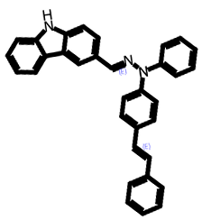 C(=C\c1ccc(N(/N=C/c2ccc3[nH]c4ccccc4c3c2)c2ccccc2)cc1)/c1ccccc1